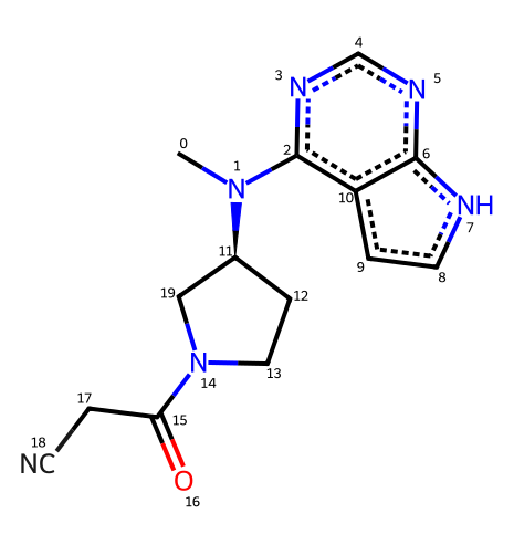 CN(c1ncnc2[nH]ccc12)[C@H]1CCN(C(=O)CC#N)C1